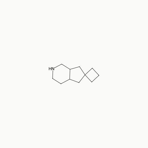 C1CC2(C1)CC1CCNCC1C2